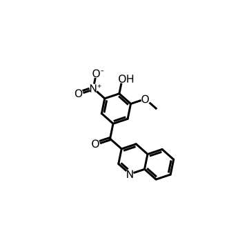 COc1cc(C(=O)c2cnc3ccccc3c2)cc([N+](=O)[O-])c1O